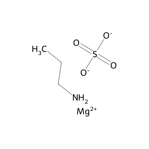 CCCN.O=S(=O)([O-])[O-].[Mg+2]